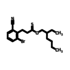 CCCCC(CC)COC(=S)CCc1c(Br)cccc1C#N